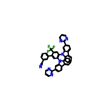 N#Cc1cccc(-c2cc(-n3c4ccccc4c4ccc(-c5ncccn5)cc43)c(-n3c4ccccc4c4ccc(-c5ncccn5)cc43)cc2C(F)(F)F)c1